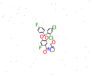 COC[C@H]1CCCN1C(=O)c1cc2c(cc1F)OC(c1ccc(F)cc1)(c1ccc(Cl)cc1Cl)O2